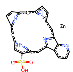 O=S(=O)(O)c1cc2cc3nc(cc4ccc(cc5nc(cc1[nH]2)-c1cccnc1-5)[nH]4)C=C3.[Zn]